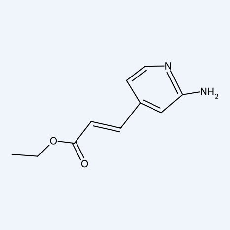 CCOC(=O)C=Cc1ccnc(N)c1